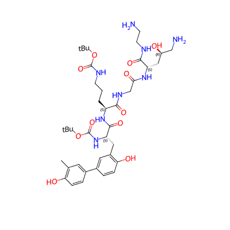 Cc1cc(-c2ccc(O)c(C[C@H](NC(=O)OC(C)(C)C)C(=O)N[C@@H](CCCNC(=O)OC(C)(C)C)C(=O)NCC(=O)N[C@@H](C[C@@H](O)CN)C(=O)NCCN)c2)ccc1O